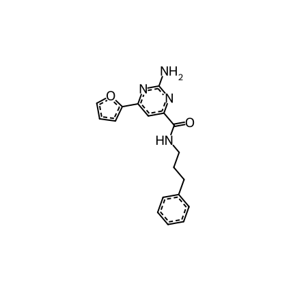 Nc1nc(C(=O)NCCCc2ccccc2)cc(-c2ccco2)n1